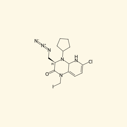 [N-]=[N+]=NC[C@@H]1C(=O)N(CI)C2=CC=C(Cl)NC2N1C1CCCC1